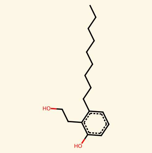 CCCCCCCCCc1cccc(O)c1CCO